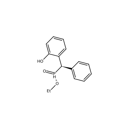 CCO[P@H](=O)[C@H](c1ccccc1)c1ccccc1O